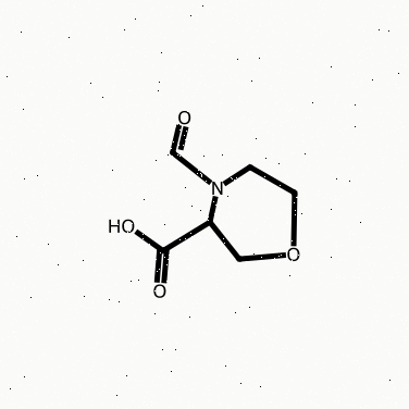 O=CN1CCOCC1C(=O)O